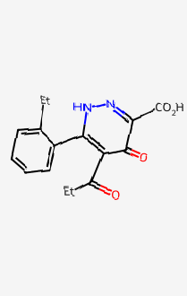 CCC(=O)c1c(-c2ccccc2CC)[nH]nc(C(=O)O)c1=O